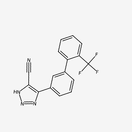 N#Cc1[nH]nnc1-c1cccc(-c2ccccc2C(F)(F)F)c1